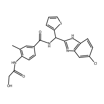 Cc1cc(C(=O)NC(c2nc3cc(Cl)ccc3[nH]2)c2cccs2)ccc1NC(=O)CO